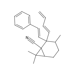 C=CC=CC1(C=Cc2ccccc2)C(C)CCC2C(C)(C)C21C#N